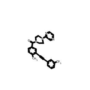 Cc1ccc(C(=O)N2CCN(c3cnccn3)CC2)cc1C#Cc1cccc(C(F)(F)F)c1